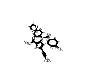 COC(=O)c1sc(C#CC(C)(C)C)cc1N(C(=O)[C@H]1CC=C(C)CC1)C1CCC2(CC1)OCCO2